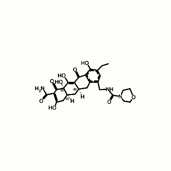 CCc1cc(CNC(=O)N2CCOCC2)c2c(c1O)C(=O)C1=C(O)[C@]3(O)C(=O)C(C(N)=O)=C(O)C[C@@H]3C[C@@H]1C2